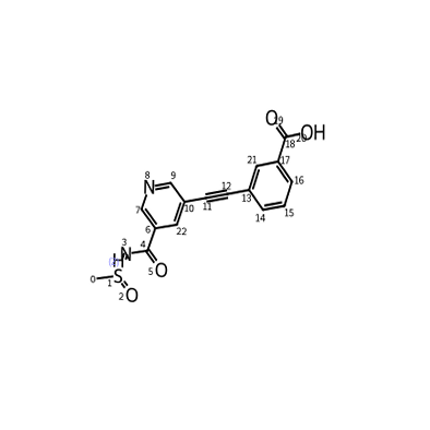 C/[SH](=O)=N/C(=O)c1cncc(C#Cc2cccc(C(=O)O)c2)c1